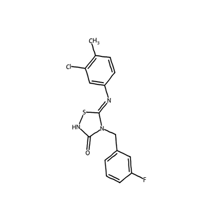 Cc1ccc(/N=c2\s[nH]c(=O)n2Cc2cccc(F)c2)cc1Cl